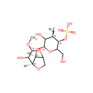 CO[C@H]1OC2CO[C@@H](C1O)[C@H]2O[C@@H]1OC(CO)[C@H](OS(=O)(=O)O)[C@H](C)C1O